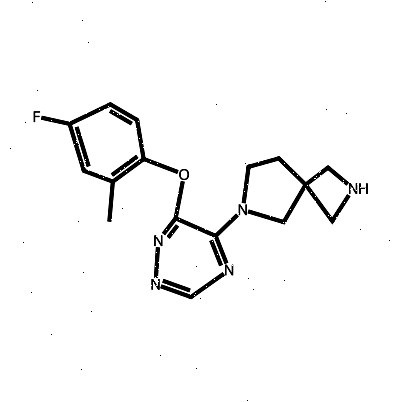 Cc1cc(F)ccc1Oc1nncnc1N1CCC2(CNC2)C1